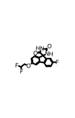 O=C1NC(=O)C2(N1)c1ccc(OCC(F)F)cc1-c1ccc(F)cc12